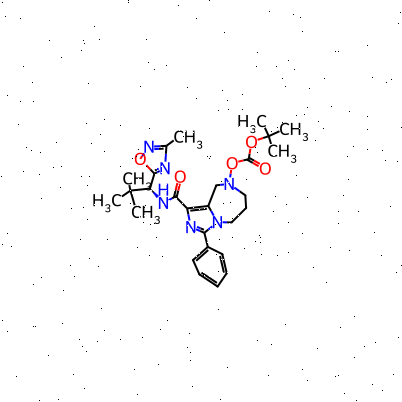 Cc1noc([C@@H](NC(=O)c2nc(-c3ccccc3)n3c2CN(OC(=O)OC(C)(C)C)CCC3)C(C)(C)C)n1